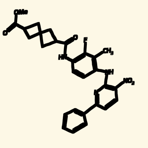 COC(=O)C1CC2(CC(C(=O)Nc3ccc(Nc4nc(-c5ccccc5)ccc4[N+](=O)[O-])c(C)c3F)C2)C1